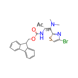 CC(=O)[C@@H](NC(=O)OCC1c2ccccc2-c2ccccc21)[C@@H](c1nc(Br)cs1)N(C)C